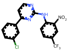 O=[N+]([O-])c1cc(C(F)(F)F)ccc1Nc1nccc(-c2cccc(Cl)c2)n1